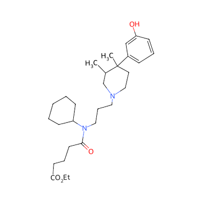 CCOC(=O)CCCC(=O)N(CCCN1CCC(C)(c2cccc(O)c2)C(C)C1)C1CCCCC1